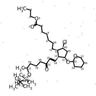 CCCOC(=O)CCCCCC[C@@H]1[C@H](C=CC(=O)CCC[C@@H](C)O[Si](C)(C)C(C)(C)C)[C@H](OC2CCCCO2)C[C@@H]1Cl